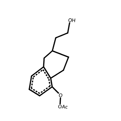 CC(=O)OOc1cccc2c1CCC(CCO)C2